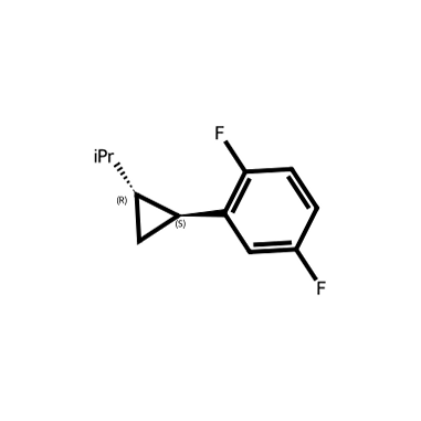 CC(C)[C@H]1C[C@@H]1c1cc(F)ccc1F